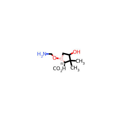 CC1(C)C(O)CB(OCN)[C@@H]1C(=O)O